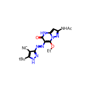 CCOc1c(/N=N/c2n[nH]c(C(C)(C)C)c2C#N)c(=O)[nH]c2cc(NC(C)=O)nn12